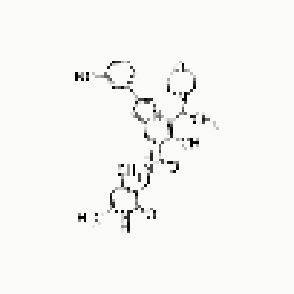 Cc1cc(C)c(CNC(=O)c2cc3cc(-c4cccc(C#N)c4)cn3c(C(C)N3CCOCC3)c2C)c(=O)[nH]1